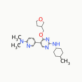 CN(C)c1ccc(-c2cnc(N[C@H]3CC[C@H](C)CC3)nc2OCC2CCOC2)cn1